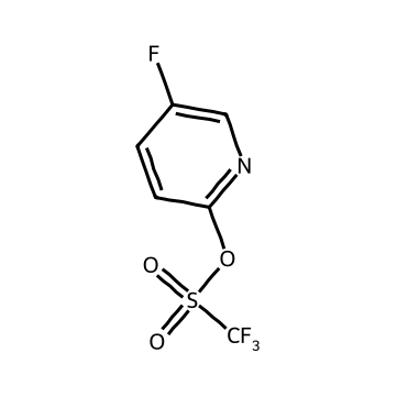 O=S(=O)(Oc1ccc(F)cn1)C(F)(F)F